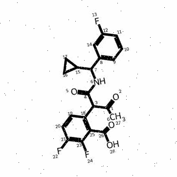 CC(=O)C(C(=O)NC(c1cccc(F)c1)C1CC1)c1ccc(F)c(F)c1C(=O)O